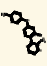 Nc1ccc(Oc2ccc(-c3ccccc3N)c(Br)c2)cc1